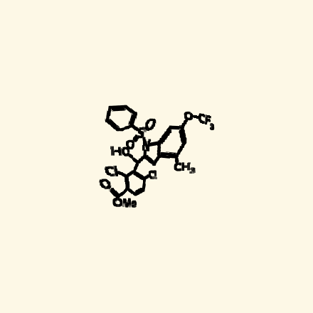 COC(=O)c1ccc(Cl)c(C(O)c2cc3c(C)cc(OC(F)(F)F)cc3n2S(=O)(=O)c2ccccc2)c1Cl